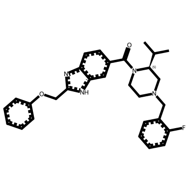 CC(C)[C@H]1CN(Cc2ccccc2F)CCN1C(=O)c1ccc2nc(COc3ccccc3)[nH]c2c1